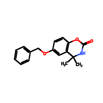 CC1(C)NC(=O)Oc2ccc(OCc3ccccc3)cc21